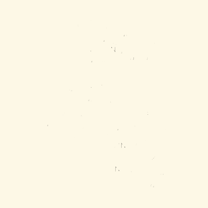 c1ccc(-c2nc(-c3cccc4c3-c3ccccc3C43c4ccccc4-c4ccc(-c5ccc6c(c5)c5ccccc5n6-c5ccccc5)cc43)nc3ccccc23)cc1